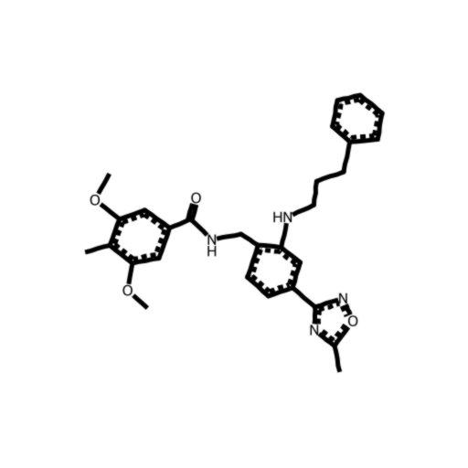 COc1cc(C(=O)NCc2ccc(-c3noc(C)n3)cc2NCCCc2ccccc2)cc(OC)c1C